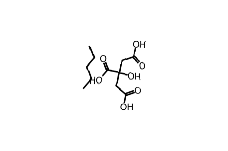 CCCCC.O=C(O)CC(O)(CC(=O)O)C(=O)O